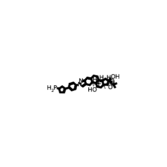 CC1(C)O[C@@H]2C[C@H]3[C@@H]4CCC5=Cc6nn(-c7ccc(C8=CCC(P)C8)cc7)cc6C[C@]5(C)[C@@]4(F)[C@@H](O)C[C@]3(C)[C@]2(C(=O)CO)O1